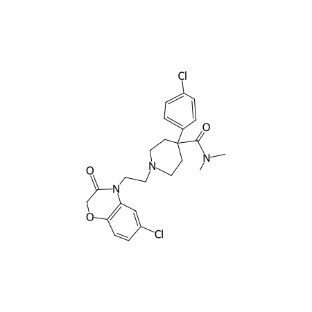 CN(C)C(=O)C1(c2ccc(Cl)cc2)CCN(CCN2C(=O)COc3ccc(Cl)cc32)CC1